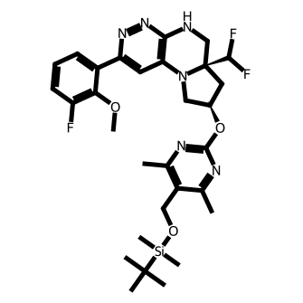 COc1c(F)cccc1-c1cc2c(nn1)NC[C@]1(C(F)F)C[C@@H](Oc3nc(C)c(CO[Si](C)(C)C(C)(C)C)c(C)n3)CN21